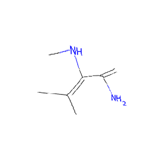 C=C(N)C(NC)=C(C)C